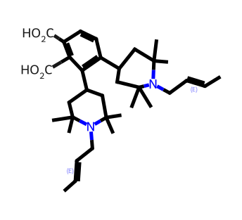 C/C=C/CN1C(C)(C)CC(c2ccc(C(=O)O)c(C(=O)O)c2C2CC(C)(C)N(C/C=C/C)C(C)(C)C2)CC1(C)C